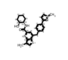 Cc1csc2c(Cc3ccc(-c4ccn(C)n4)cc3)cc(C(=O)N[C@H]3CCCC[C@@H]3O)nc12